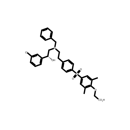 Cc1cc(S(=O)(=O)c2ccc(CCN(Cc3ccccc3)C[C@H](O)c3cccc(Cl)c3)cc2)cc(C)c1OCC(=O)O